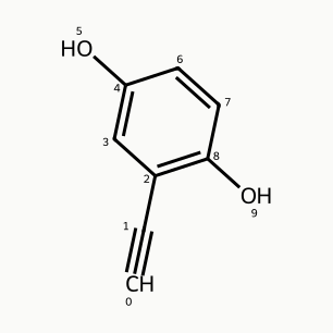 C#Cc1cc(O)ccc1O